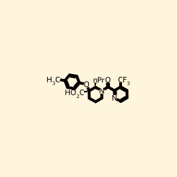 CCC[C@H]1N(C(=O)c2ncccc2C(F)(F)F)CCC[C@@]1(Oc1ccc(C)cc1)C(=O)O